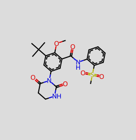 COc1c(C(=O)Nc2ccccc2S(C)(=O)=O)cc(N2C(=O)CCNC2=O)cc1C(C)(C)C